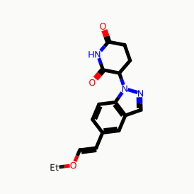 CCOC=Cc1ccc2c(cnn2C2CCC(=O)NC2=O)c1